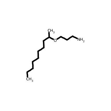 CCCCCCCCC(C)OCCCN